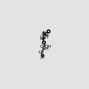 O=C(NCCC(=O)N1CC(F)(F)C1)C(O)c1ccc(-c2noc(-c3onc(-c4ccccc4)c3C(F)(F)F)n2)cc1